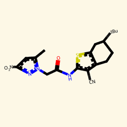 Cc1cc([N+](=O)[O-])nn1CC(=O)Nc1sc2c(c1C#N)CCC(C(C)(C)C)C2